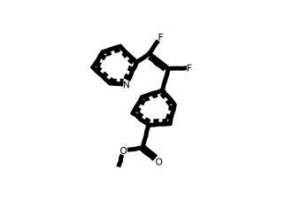 COC(=O)c1ccc(/C(F)=C(/F)c2ccccn2)cc1